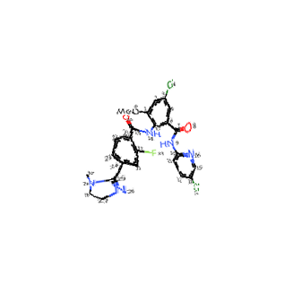 COc1cc(Cl)cc(C(=O)Nc2ccc(Cl)cn2)c1NC(=O)c1ccc(C2=NCCN2C)cc1F